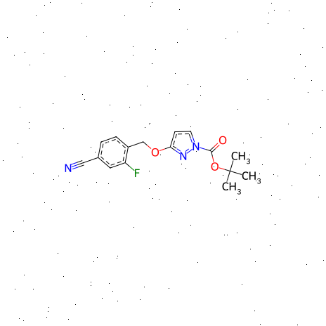 CC(C)(C)OC(=O)n1ccc(OCc2ccc(C#N)cc2F)n1